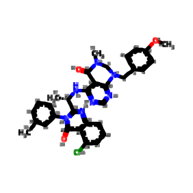 COc1ccc(CN2CN(C)C(=O)c3c(N[C@@H](C)c4nc5cccc(Cl)c5c(=O)n4-c4cccc(C)c4)ncnc32)cc1